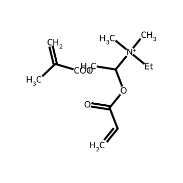 C=C(C)C(=O)[O-].C=CC(=O)OC(C)[N+](C)(C)CC